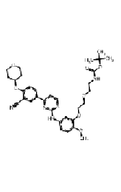 COc1ccc(Nc2nccc(-c3ccc(OC4CCOCC4)c(C#N)c3)n2)cc1OCCOCCNC(=O)OC(C)(C)C